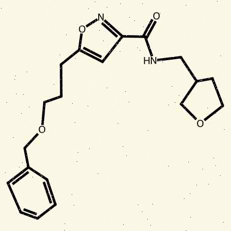 O=C(NCC1CCOC1)c1cc(CCCOCc2ccccc2)on1